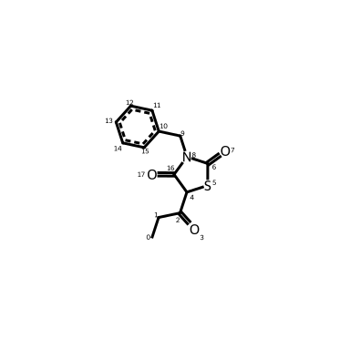 CCC(=O)C1SC(=O)N(Cc2ccccc2)C1=O